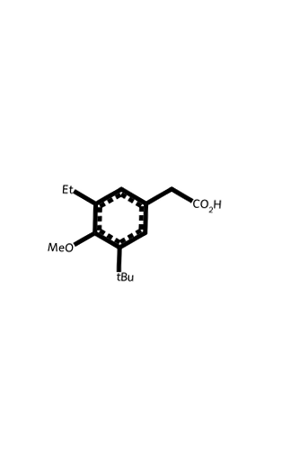 CCc1cc(CC(=O)O)cc(C(C)(C)C)c1OC